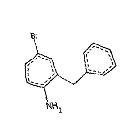 Nc1ccc(Br)cc1Cc1ccccc1